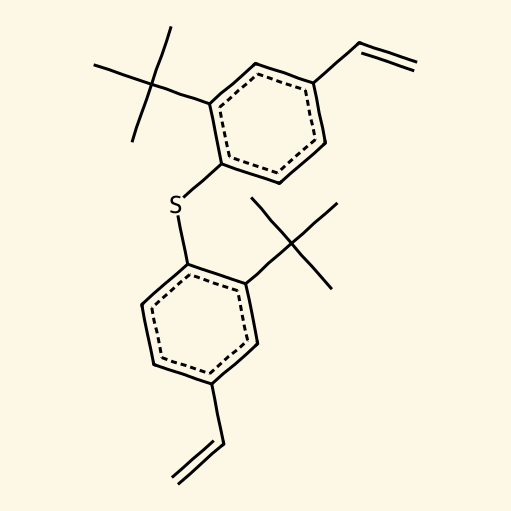 C=Cc1ccc(Sc2ccc(C=C)cc2C(C)(C)C)c(C(C)(C)C)c1